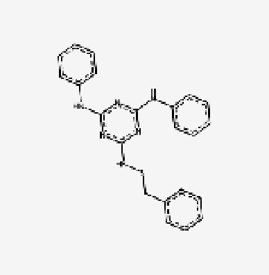 c1ccc(CSNc2nc(Nc3ccccc3)nc(Nc3ccccc3)n2)cc1